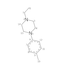 CCN1CCN(c2ccc(C)cc2)CC1